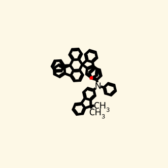 CC1(C)c2ccccc2-c2ccc(N(c3ccccc3)c3ccc(-c4ccccc4C4(c5ccccc5)c5ccccc5C5(c6ccccc6)c6ccccc6-c6cccc4c65)cc3)cc21